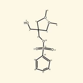 COCC(CO)(COC)COS(=O)(=O)c1ccccc1